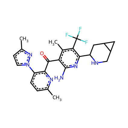 Cc1ccc(-n2ccc(C)n2)c(C(=O)c2c(N)nc(C3CC4CC4CN3)c(C(F)(F)F)c2C)n1